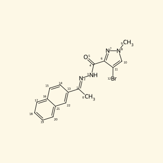 C/C(=N\NC(=O)c1nn(C)cc1Br)c1ccc2ccccc2c1